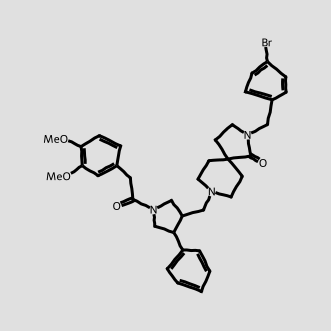 COc1ccc(CC(=O)N2CC(CN3CCC4(CC3)CCN(Cc3ccc(Br)cc3)C4=O)C(c3ccccc3)C2)cc1OC